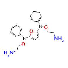 NCCOB(c1ccccc1)c1ccc(B(OCCN)c2ccccc2)o1